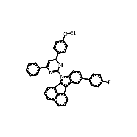 CCOc1ccc(C2C=C(c3ccccc3)N=C(n3c4c(c5cc(-c6ccc(F)cc6)ccc53)-c3cccc5cccc-4c35)N2)cc1